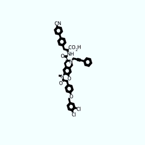 CN1C(=O)C(c2ccc(OCc3ccc(Cl)c(Cl)c3)cc2)Oc2cc3c(cc21)C[C@@H](C(=O)N[C@@H](Cc1ccc(-c2ccc(C#N)cc2)cc1)C(=O)O)N(CC#Cc1ccccc1)C3